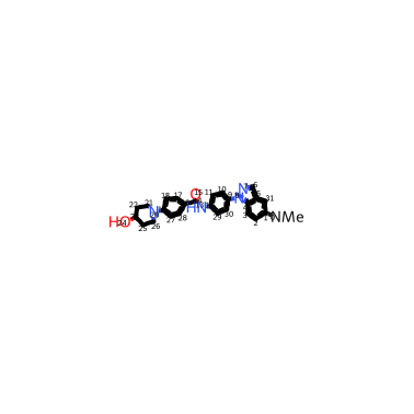 CNc1ccc2c(cnn2-c2ccc(NC(=O)c3ccc(N4CCC(O)CC4)cc3)cc2)c1